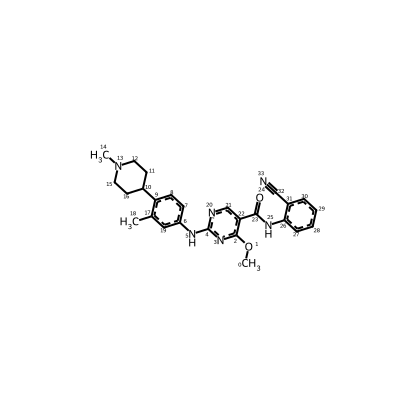 COc1nc(Nc2ccc(C3CCN(C)CC3)c(C)c2)ncc1C(=O)Nc1ccccc1C#N